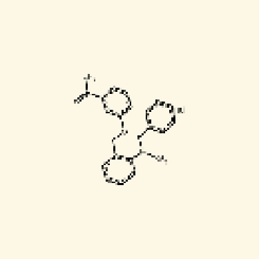 CC(=O)c1cccc(OCc2ccccc2N(C)Cc2ccccc2)c1.Cl